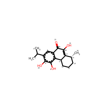 CC(C)c1cc2c(c(O)c1O)C1CCC[C@@H](C)C1=C(O)C2=O